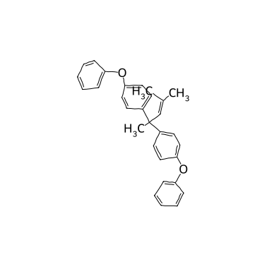 CC(C)=CC(C)(c1ccc(Oc2ccccc2)cc1)c1ccc(Oc2ccccc2)cc1